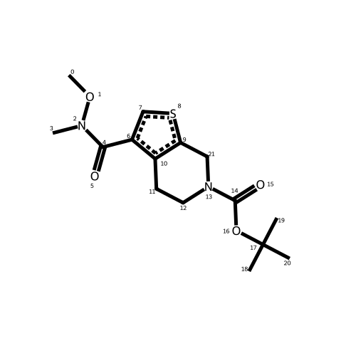 CON(C)C(=O)c1csc2c1CCN(C(=O)OC(C)(C)C)C2